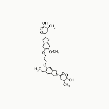 CCc1cc2c(cc1OCCCOc1cc3cc(C(=O)C[C@H](C)C(=O)O)sc3cc1OC)CN(C(=O)C[C@H](C)C(=O)O)C2